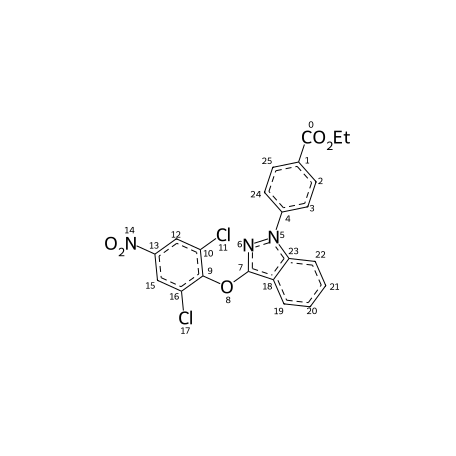 CCOC(=O)c1ccc(-n2nc(Oc3c(Cl)cc([N+](=O)[O-])cc3Cl)c3ccccc32)cc1